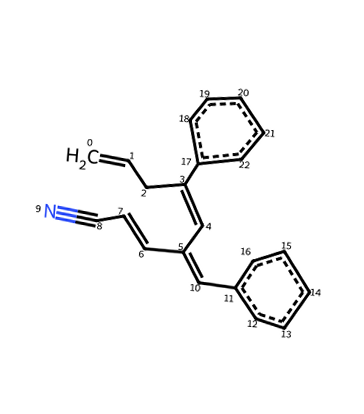 C=CCC(=CC(C=CC#N)=Cc1ccccc1)c1ccccc1